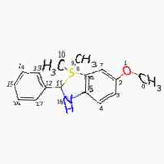 COc1ccc2c(c1)S(C)(C)C(c1ccccc1)N2